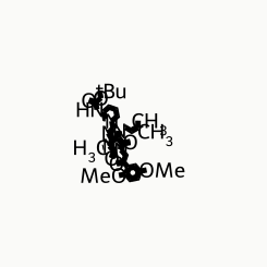 COc1ccc(OC)c(C(=O)Cn2c(=O)c3c(nc(N4CCCC(NC(=O)OC(C)(C)C)C4)n3CC=C(C)C)n(C)c2=O)c1